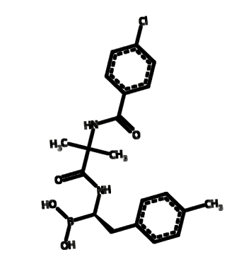 Cc1ccc(C[C@H](NC(=O)C(C)(C)NC(=O)c2ccc(Cl)cc2)B(O)O)cc1